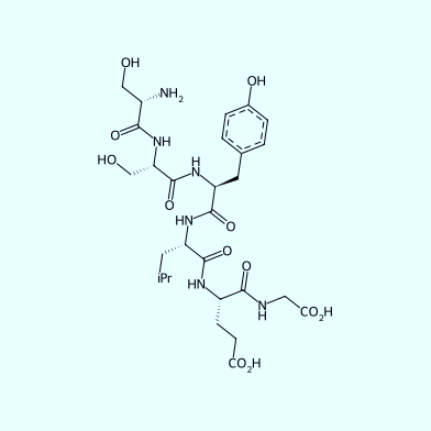 CC(C)C[C@H](NC(=O)[C@H](Cc1ccc(O)cc1)NC(=O)[C@H](CO)NC(=O)[C@@H](N)CO)C(=O)N[C@@H](CCC(=O)O)C(=O)NCC(=O)O